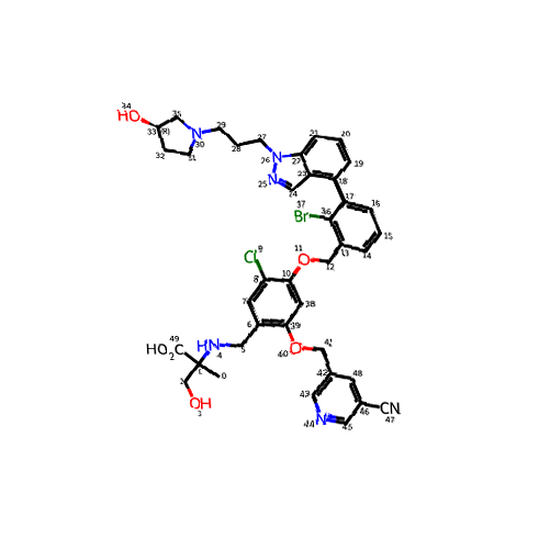 CC(CO)(NCc1cc(Cl)c(OCc2cccc(-c3cccc4c3cnn4CCCN3CC[C@@H](O)C3)c2Br)cc1OCc1cncc(C#N)c1)C(=O)O